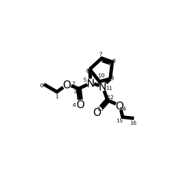 CCOC(=O)N1C2C=CC(C2)N1C(=O)OCC